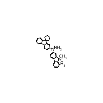 CC1(C)c2ccccc2-c2ccc(N(N)c3ccc4c(c3)C3(CCCC3)c3ccccc3-4)cc21